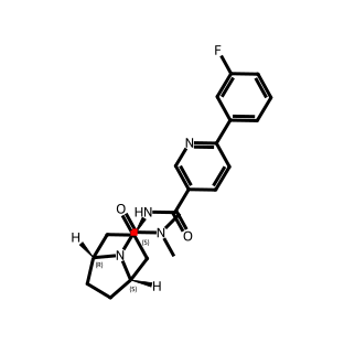 CN(C)C(=O)N1[C@@H]2CC[C@H]1C[C@H](NC(=O)c1ccc(-c3cccc(F)c3)nc1)C2